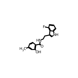 Cc1ccc(C(=O)NCCc2c[nH]c3cccc(F)c23)c(O)c1